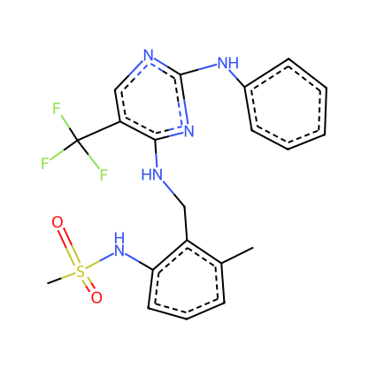 Cc1cccc(NS(C)(=O)=O)c1CNc1nc(Nc2ccccc2)ncc1C(F)(F)F